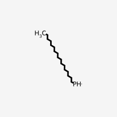 CCCCCCCCCCCCCCCCC[PH]